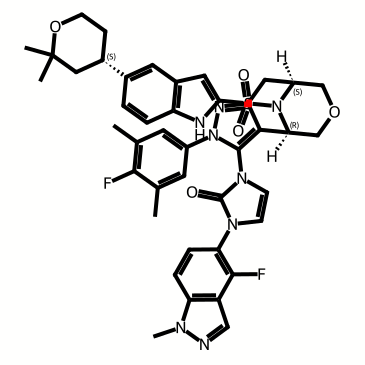 Cc1cc(-n2nc3c(c2-n2ccn(-c4ccc5c(cnn5C)c4F)c2=O)[C@@H]2COC[C@H](C3)N2S(=O)(=O)c2cc3cc([C@H]4CCOC(C)(C)C4)ccc3[nH]2)cc(C)c1F